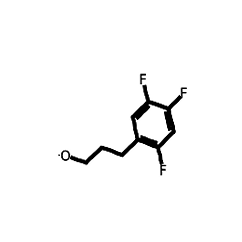 [O]CCCc1cc(F)c(F)cc1F